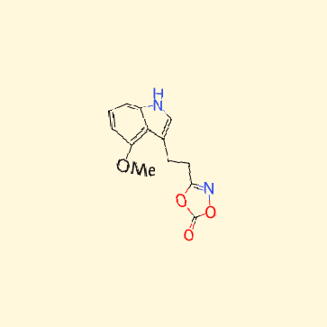 COc1cccc2[nH]cc(CCc3noc(=O)o3)c12